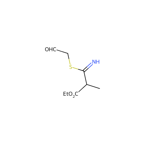 CCOC(=O)C(C)C(=N)SCC=O